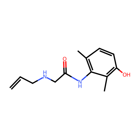 C=CCNCC(=O)Nc1c(C)ccc(O)c1C